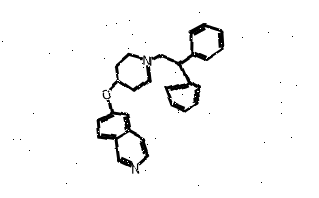 c1ccc(C(CN2CCC(Oc3ccc4cnccc4c3)CC2)c2ccccc2)cc1